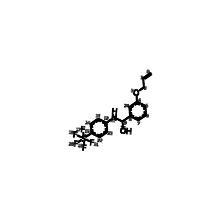 C=CCOc1cccc(C(O)Nc2ccc(S(F)(F)(F)(F)F)cc2)c1